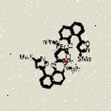 CCCN(CCC)C1CCc2cccc(-c3cc(SC)no3)c2C1OC(=O)/C=C\C(=O)OC1c2c(cccc2-c2cc(SC)no2)CCC1N(CCC)CCC